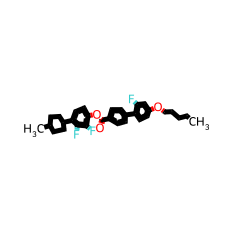 CCCCCOc1ccc(-c2ccc(C(=O)Oc3ccc(C4CCC(C)CC4)c(F)c3F)cc2)c(F)c1